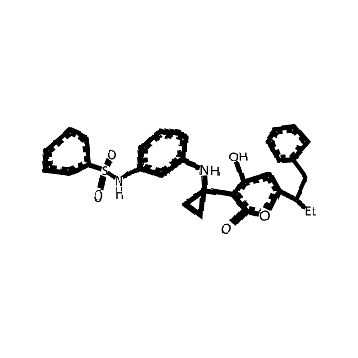 CCC(Cc1ccccc1)c1cc(O)c(C2(Nc3cccc(NS(=O)(=O)c4ccccc4)c3)CC2)c(=O)o1